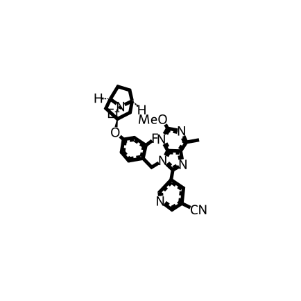 CCN1[C@@H]2CC[C@H]1C[C@@H](Oc1ccc(Cn3c(-c4cncc(C#N)c4)nc4c(C)nc(OC)nc43)c(F)c1)C2